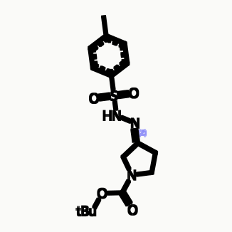 Cc1ccc(S(=O)(=O)N/N=C2/CCN(C(=O)OC(C)(C)C)C2)cc1